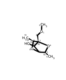 COC[C@]12O[C@@H](C)C(O[C@H]1C)C2O